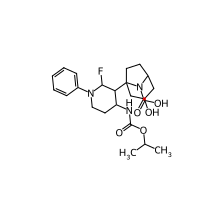 CC(C)OC(=O)NC1CCN(c2ccccc2)C(F)C1C12CCC(CC(O)C1)N2C(=O)O